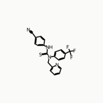 N#Cc1ccc(NC(=S)N(Cc2ccccn2)c2ccc(C(F)(F)F)cc2)cc1